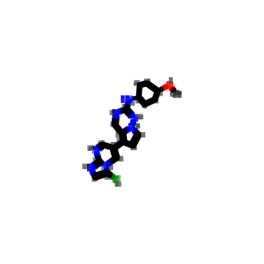 CCO[C@H]1CC[C@H](Nc2ncc3c(-c4cnc5ncc(Cl)n5c4)ccn3n2)CC1